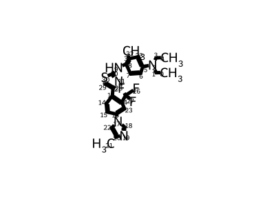 CCN(CC)c1ccc(Nc2nc(-c3ccc(-n4cnc(C)c4)cc3C(F)(F)F)cs2)c(C)c1